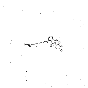 [N-]=[N+]=NCCCCCCCSc1cccc2c1C(=O)N(C1CCC(=O)NC1=O)C2=O